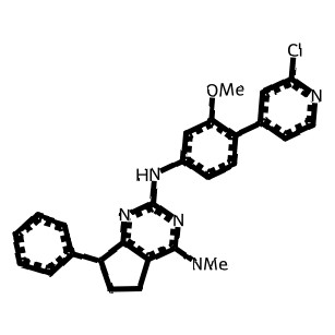 CNc1nc(Nc2ccc(-c3ccnc(Cl)c3)c(OC)c2)nc2c1CCC2c1ccccc1